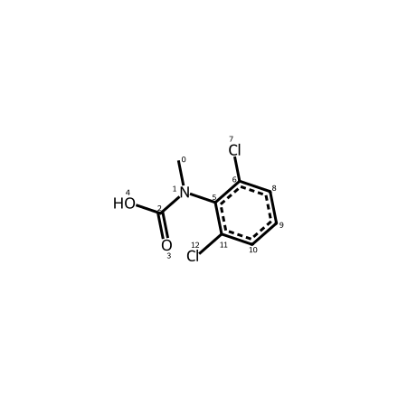 CN(C(=O)O)c1c(Cl)cccc1Cl